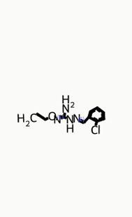 C=CCO/N=C(\N)N/N=C/c1ccccc1Cl